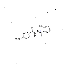 COc1ccc(C(=O)N/N=C(\C)c2ccccc2O)cc1